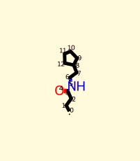 [CH2]CCC(=O)NCCC1CCCC1